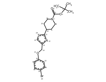 CC(C)(C)OC(=O)N1CCC(c2nc(COc3ccc(Br)cc3)cs2)CC1